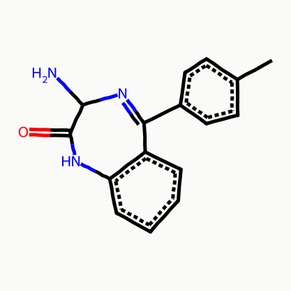 Cc1ccc(C2=NC(N)C(=O)Nc3ccccc32)cc1